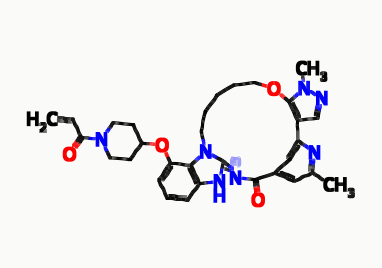 C=CC(=O)N1CCC(Oc2cccc3c2N2CCCCCOc4c(cnn4C)-c4cc(cc(C)n4)C(=O)/N=C/2N3)CC1